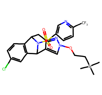 C[Si](C)(C)CCOn1cc2c(n1)CC1c3ccc(Cl)cc3C2N1S(=O)(=O)c1ccc(C(F)(F)F)nc1